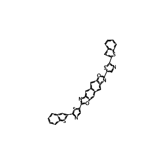 c1ccc2sc(-c3ncc(-c4nc5cc6cc7oc(-c8cnc(-c9cc%10ccccc%10s9)s8)nc7cc6cc5o4)s3)cc2c1